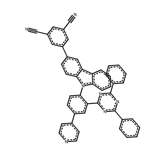 N#Cc1cc(C#N)cc(-c2ccc3c(c2)c2ccccc2n3-c2ccc(-c3ccncc3)cc2-c2nc(-c3ccccc3)nc(-c3ccccc3)n2)c1